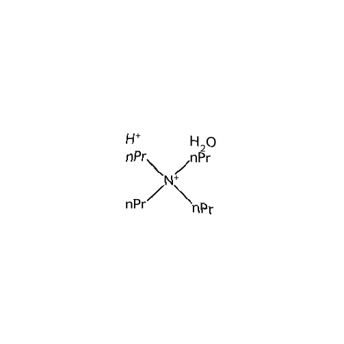 CCC[N+](CCC)(CCC)CCC.O.[H+]